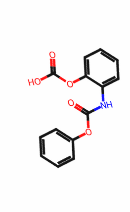 O=C(O)Oc1ccccc1NC(=O)Oc1ccccc1